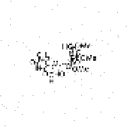 COP(=O)(O)OP(=O)(OC)OP(=O)(OC)OCC1OC(c2cn(C)c(=O)[nH]c2=O)C(O)C1O